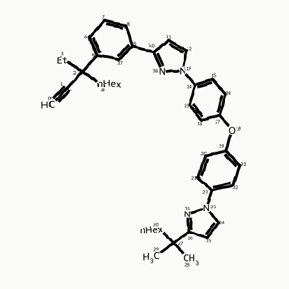 C#CC(CC)(CCCCCC)c1cccc(-c2ccn(-c3ccc(Oc4ccc(-n5ccc(C(C)(C)CCCCCC)n5)cc4)cc3)n2)c1